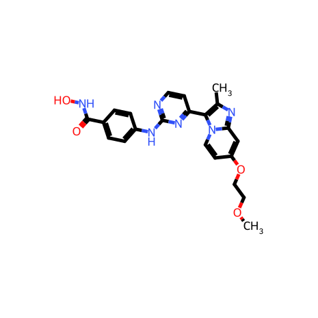 COCCOc1ccn2c(-c3ccnc(Nc4ccc(C(=O)NO)cc4)n3)c(C)nc2c1